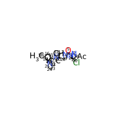 CC(=O)c1nn(C(=O)N2CCC(C)(N(C)Cc3ccc(C)cc3N3CCCC3)CC2)cc1Cl